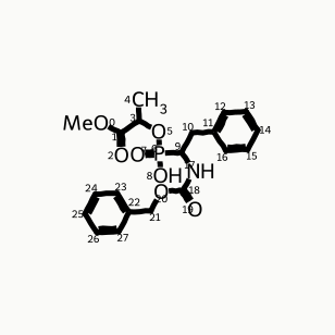 COC(=O)C(C)OP(=O)(O)C(Cc1ccccc1)NC(=O)OCc1ccccc1